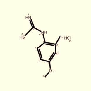 COc1ccc(NC(=N)S)c(C)c1.Cl